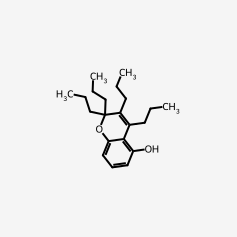 CCCC1=C(CCC)C(CCC)(CCC)Oc2cccc(O)c21